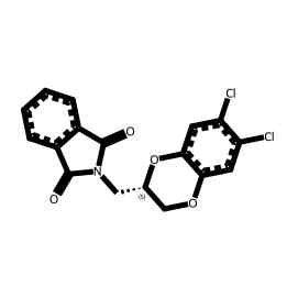 O=C1c2ccccc2C(=O)N1C[C@H]1COc2cc(Cl)c(Cl)cc2O1